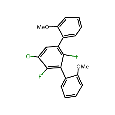 COc1ccccc1-c1cc(Cl)c(F)c(-c2ccccc2OC)c1F